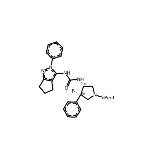 CCCCCN1C[C@@H](NC(=O)Nc2c3c(nn2-c2ccccc2)CCC3)[C@](F)(c2ccccc2)C1